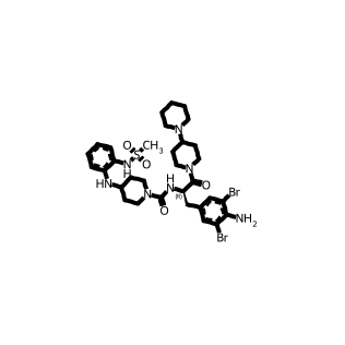 CS(=O)(=O)Nc1ccccc1NC1CCN(C(=O)N[C@H](Cc2cc(Br)c(N)c(Br)c2)C(=O)N2CCC(N3CCCCC3)CC2)CC1